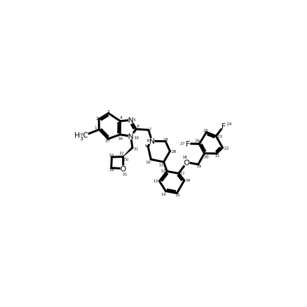 Cc1ccc2nc(CN3CCC(c4ccccc4OCc4ccc(F)cc4F)CC3)n(C[C@@H]3CCO3)c2c1